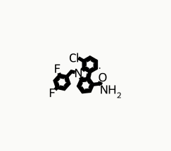 NC(=O)c1cccc2c1c1[c]ccc(Cl)c1n2Cc1ccc(F)cc1F